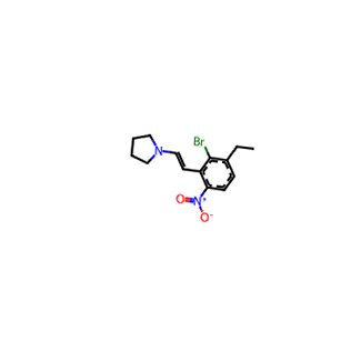 CCc1ccc([N+](=O)[O-])c(C=CN2CCCC2)c1Br